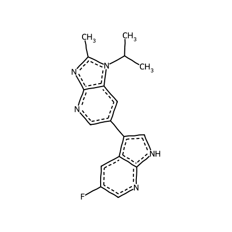 Cc1nc2ncc(-c3c[nH]c4ncc(F)cc34)cc2n1C(C)C